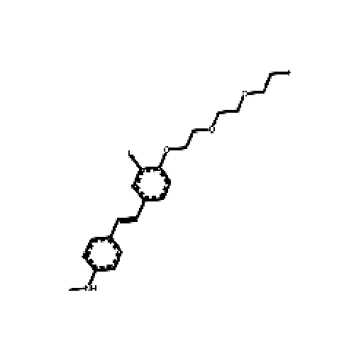 CNc1ccc(C=Cc2ccc(OCCOCCOCCF)c(I)c2)cc1